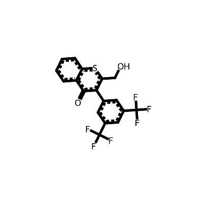 O=c1c(-c2cc(C(F)(F)F)cc(C(F)(F)F)c2)c(CO)sc2ccccc12